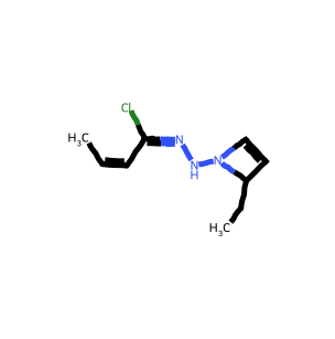 C/C=C\C(Cl)=N/NN1C=CC1CC